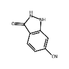 N#Cc1ccc2c(=O)[nH][nH]c2c1